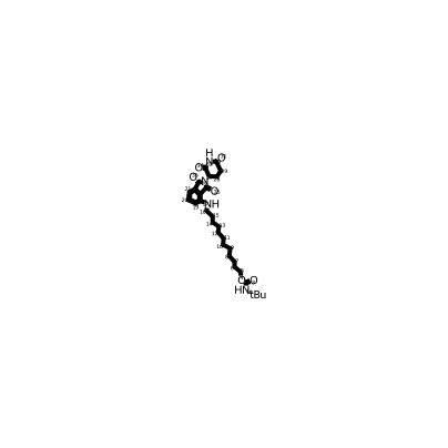 CC(C)(C)NC(=O)OCCCCCCCCCCCCNc1cccc2c1C(=O)N(C1CCC(=O)NC1=O)C2=O